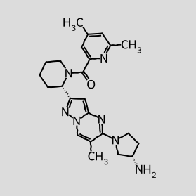 Cc1cc(C)nc(C(=O)N2CCCC[C@H]2c2cc3nc(N4CC[C@H](N)C4)c(C)cn3n2)c1